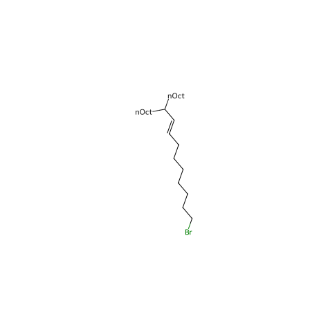 CCCCCCCCC(/C=C/CCCCCCCBr)CCCCCCCC